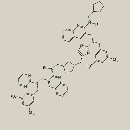 CCN(CC1CCCC1)c1nc2ccccc2cc1CN(Cc1cc(C(F)(F)F)cc(C(F)(F)F)c1)c1nc(CC2CCC(CN(CC)c3nc4ccccc4cc3CN(Cc3cc(C(F)(F)F)cc(C(F)(F)F)c3)c3ncccn3)C2)co1